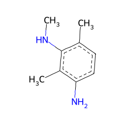 CNc1c(C)ccc(N)c1C